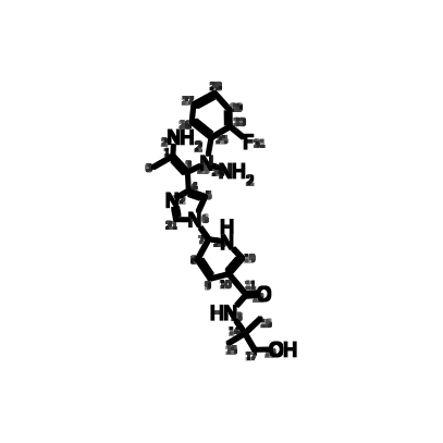 C/C(N)=C(\c1cn(C2C=CC(C(=O)NC(C)(C)CO)=CN2)cn1)N(N)c1ccccc1F